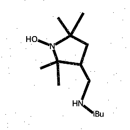 CCC(C)NCC1CC(C)(C)N(O)C1(C)C